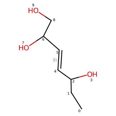 CCC(O)/C=C/C(O)CO